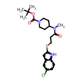 CN(C(=O)CCSc1cc2cc(Cl)ccc2[nH]1)C1CCN(C(=O)OC(C)(C)C)CC1